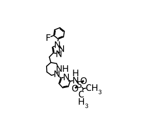 CC(C)S(=O)(=O)Nc1cccc(N2CCCC(Cc3cn(-c4ccccc4F)nn3)CN2)n1